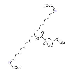 CCCCCCCC/C=C\CCCCCCCCC(CCCCCCC/C=C\CCCCCCCC)OC(=O)[C@@H](N)CC(=O)OC(C)(C)C